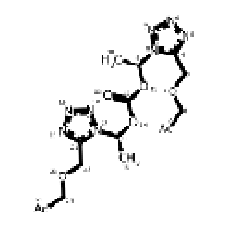 CC(=O)COCc1nnnn1[C@H](C)OC(=O)O[C@@H](C)n1nnnc1COCC(C)=O